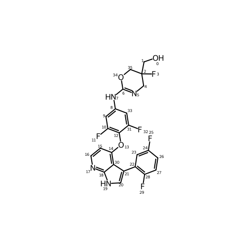 OCC1(F)CN=C(Nc2cc(F)c(Oc3ccnc4[nH]cc(-c5cc(F)ccc5F)c34)c(F)c2)OC1